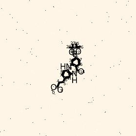 COC(=O)CCc1ccc2c(c1)NC(=O)c1ccc(B3OC(C)(C)C(C)(C)O3)cc1N2